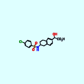 O=C(O)C(O)c1ccc2c(c1)CCC(NS(=O)(=O)c1ccc(Cl)cc1)C2